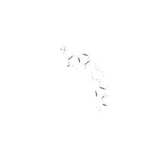 BC1(B)Cc2c(c3ccc(CN4CCN(c5ccc(C(=O)NC)nc5F)CC4)c(F)c3[nH]c2=O)O1